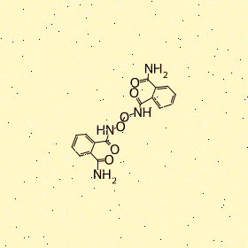 NC(=O)c1ccccc1C(=O)NOONC(=O)c1ccccc1C(N)=O